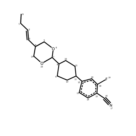 CCC=CC1COC(C2CCC(c3ccc(C#N)c(F)c3)CC2)OC1